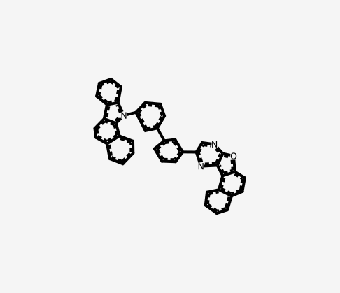 c1cc(-c2cccc(-n3c4ccccc4c4ccc5ccccc5c43)c2)cc(-c2cnc3oc4ccc5ccccc5c4c3n2)c1